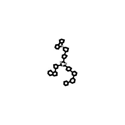 c1ccc(-c2cccc(-c3cccc(-c4ccc(-c5nc(-c6ccc(-c7cccc(-n8c9ccccc9c9ccccc98)c7)cc6)nc(-c6cccc(-c7cccc8ccccc78)c6)n5)cc4)c3)c2)cc1